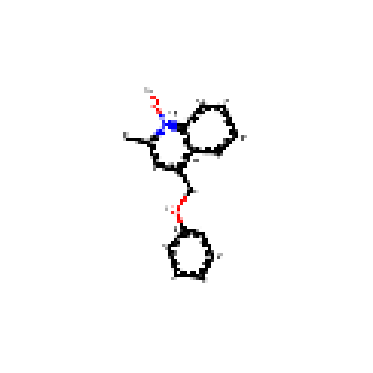 Cc1cc(COc2cc[c]cc2)c2ccccc2[n+]1[O-]